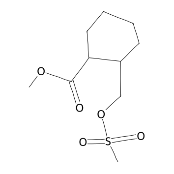 COC(=O)C1CCCCC1COS(C)(=O)=O